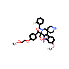 COCCOc1ccc(C(=O)C2(CO)c3[nH]c4cc(OC)ccc4c3C3(CCNCC3)CN2Cc2ccccc2F)cc1